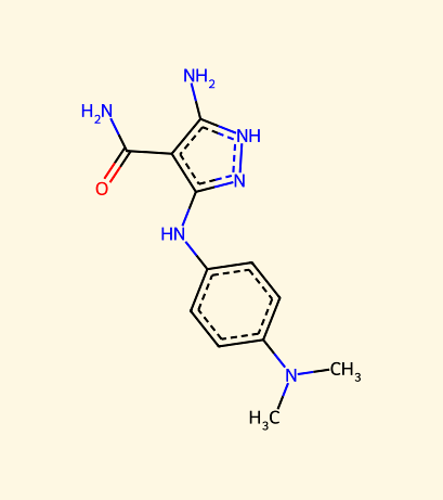 CN(C)c1ccc(Nc2n[nH]c(N)c2C(N)=O)cc1